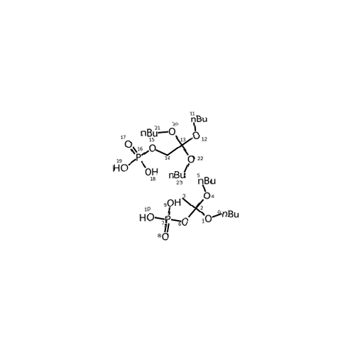 CCCCOC(C)(OCCCC)OP(=O)(O)O.CCCCOC(COP(=O)(O)O)(OCCCC)OCCCC